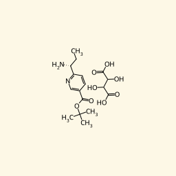 CC[C@@H](N)c1ccc(C(=O)OC(C)(C)C)cn1.O=C(O)C(O)C(O)C(=O)O